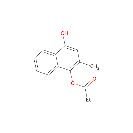 CCC(=O)Oc1c(C)cc(O)c2ccccc12